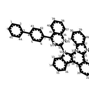 c1ccc(-c2ccc(-c3nc(-n4c5ccccc5c5c6ccccc6c6nc7ccccc7n6c54)nc4ccccc34)cc2)cc1